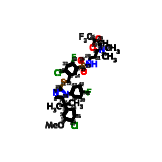 COc1cc(C(C)(C)c2cnc(SCc3cc(S(=O)(=O)NCCC(OC(=O)C(F)(F)F)[N+](C)(C)C)c(F)cc3Cl)n2-c2ccc(F)cc2)ccc1Cl